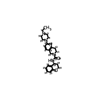 CCN1CCN(c2ccc3c(n2)CCN(C(=O)N[C@H]2CCOc4ccccc42)C3)CC1